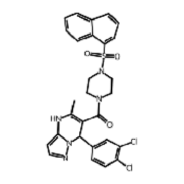 CC1=C(C(=O)N2CCN(S(=O)(=O)c3cccc4ccccc34)CC2)C(c2ccc(Cl)c(Cl)c2)n2nccc2N1